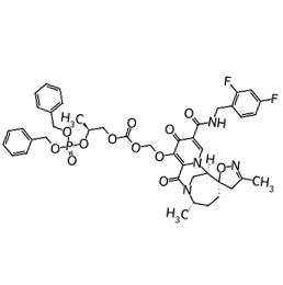 CC1=NO[C@@]2(CC[C@H](C)N3C[C@H]2n2cc(C(=O)NCc4ccc(F)cc4F)c(=O)c(OCOC(=O)OC[C@H](C)OP(=O)(OCc4ccccc4)OCc4ccccc4)c2C3=O)C1